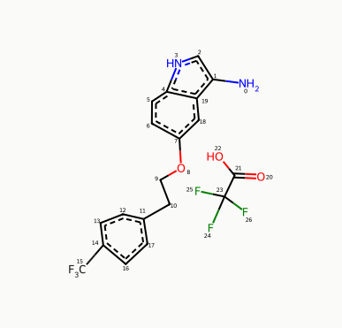 Nc1c[nH]c2ccc(OCCc3ccc(C(F)(F)F)cc3)cc12.O=C(O)C(F)(F)F